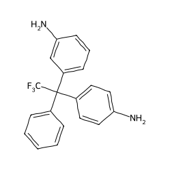 Nc1ccc(C(c2ccccc2)(c2cccc(N)c2)C(F)(F)F)cc1